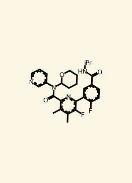 Cc1c(C(=O)N(c2cccnc2)C2CCCCO2)nc(-c2cc(C(=O)NC(C)C)ccc2F)c(F)c1C